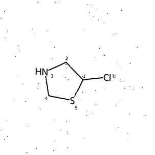 ClC1[CH]NCS1